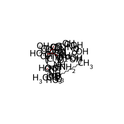 CCCCCCCCCCCCOS(=O)(=O)O.CNC(CC(C)C)C(=O)NC1C(=O)NC(CC(N)=O)C(=O)NC2C(=O)NC3C(=O)NC(C(=O)NC(C(=O)O)c4cc(O)cc(O)c4-c4cc3ccc4O)C(O)c3ccc(c(Cl)c3)Oc3cc2cc(c3OC2OC(CO)C(O)C(O)C2OC2CC(C)(N)C(O)C(C)O2)Oc2ccc(cc2Cl)C1O